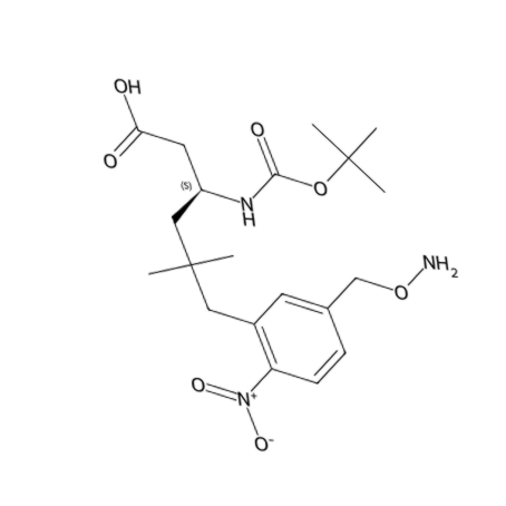 CC(C)(Cc1cc(CON)ccc1[N+](=O)[O-])C[C@@H](CC(=O)O)NC(=O)OC(C)(C)C